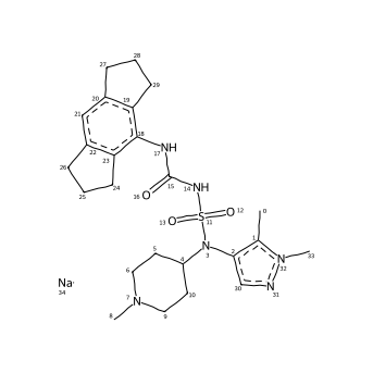 Cc1c(N(C2CCN(C)CC2)S(=O)(=O)NC(=O)Nc2c3c(cc4c2CCC4)CCC3)cnn1C.[Na]